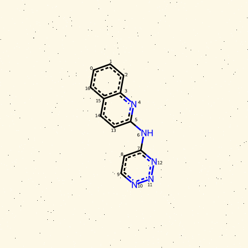 c1ccc2nc(Nc3ccnnn3)ccc2c1